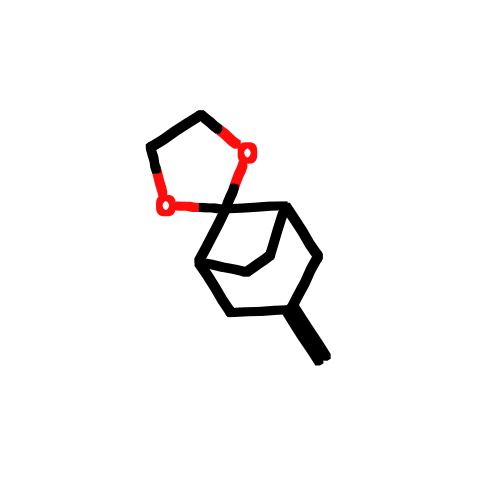 C=C1CC2CCC(C1)C21OCCO1